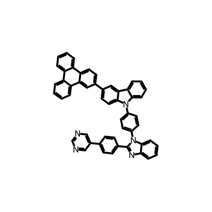 c1ccc2c(c1)nc(-c1ccc(-c3cncnc3)cc1)n2-c1ccc(-n2c3ccccc3c3cc(-c4ccc5c6ccccc6c6ccccc6c5c4)ccc32)cc1